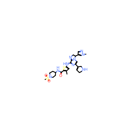 Cc1cc(NC2=NC(C3=CCCNC3)=CN3C2=NCC3c2cnn(C)c2)sc1C(=O)NC1CCN(S(C)(=O)=O)CC1